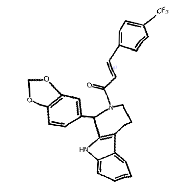 O=C(/C=C/c1ccc(C(F)(F)F)cc1)N1CCc2c([nH]c3ccccc23)C1c1ccc2c(c1)OCO2